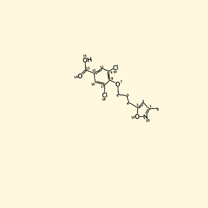 Cc1cc(CCCOc2c(Cl)cc(C(=O)O)cc2Cl)on1